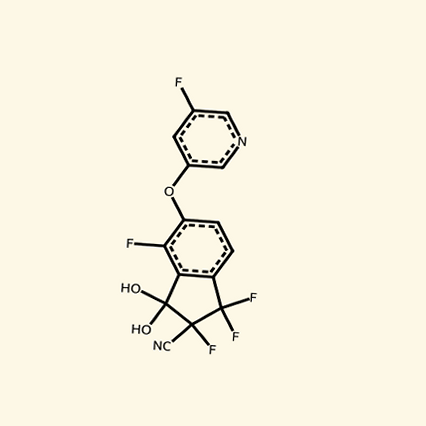 N#CC1(F)C(O)(O)c2c(ccc(Oc3cncc(F)c3)c2F)C1(F)F